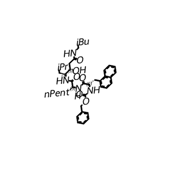 CCCCC[C@H](NC(=O)[C@H](Cc1cccc2ccccc12)NC(=O)OCc1ccccc1)C(=O)N[C@@H](CC(C)C)[C@@H](O)CC(=O)NCC(C)CC